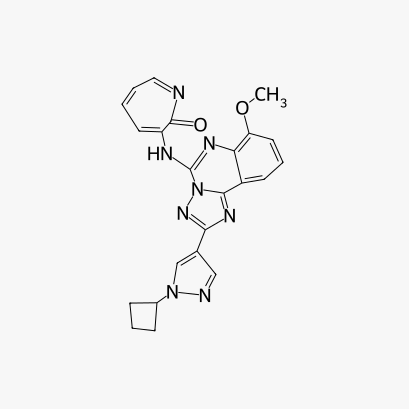 COc1cccc2c1nc(Nc1ccccnc1=O)n1nc(-c3cnn(C4CCC4)c3)nc21